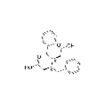 O=C(O)C[C@H](Cc1ccccc1)[C@H](CC(=O)O)Cc1ccccc1